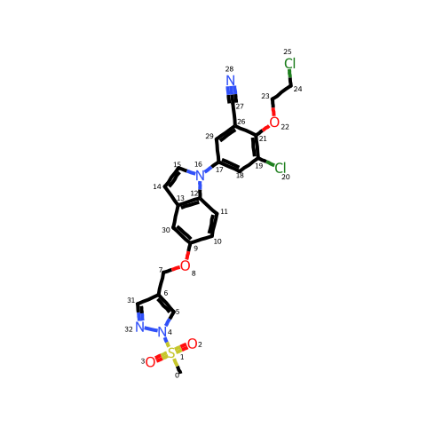 CS(=O)(=O)n1cc(COc2ccc3c(ccn3-c3cc(Cl)c(OCCCl)c(C#N)c3)c2)cn1